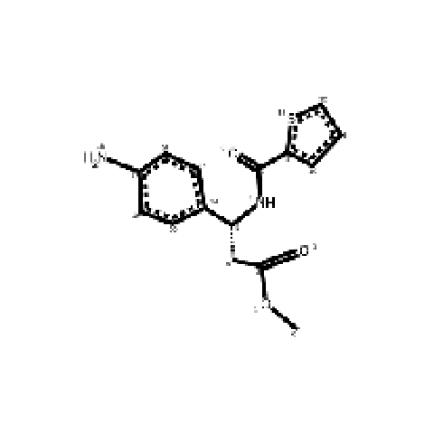 COC(=O)C[C@@H](NC(=O)c1cccs1)c1ccc(N)cc1